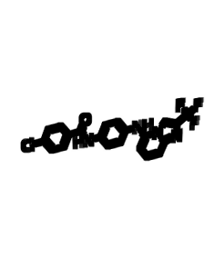 O=C(Nc1ccc(Nc2cccc3nc(C(F)(F)F)cn23)cc1)c1ccc(Cl)cc1